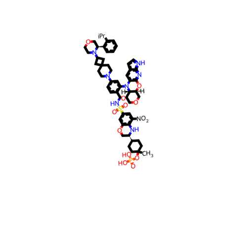 CC(C)c1ccccc1[C@@H]1COCCN1C1CC2(CCN(c3ccc(C(=O)NS(=O)(=O)c4cc5c(c([N+](=O)[O-])c4)N[C@H](C4CCC(C)(OP(=O)(O)O)CC4)CO5)c(N4c5cc6cc[nH]c6nc5O[C@H]5COCC[C@@H]54)c3)CC2)C1